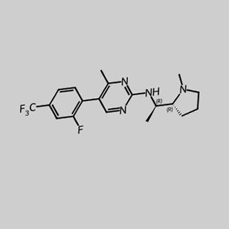 Cc1nc(N[C@H](C)[C@H]2CCCN2C)ncc1-c1ccc(C(F)(F)F)cc1F